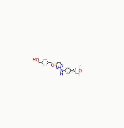 C[C@@H]1CN(c2ccc(Nc3nccc(OCC4CCC(CO)CC4)n3)cc2)C[C@H](C)O1